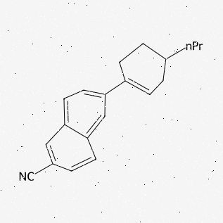 CCCC1CC=C(c2ccc3cc(C#N)ccc3c2)CC1